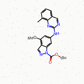 COc1cc(Nc2ncc3cccc(C)c3n2)cc2c1cnn2C(=O)OC(C)(C)C